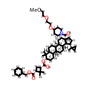 COCCOCCOC1CCN(C(=O)[C@]23CC[C@@H](C4(C)CC4)[C@@H]2[C@H]2CC[C@@H]4[C@@]5(C)CC[C@H](OC(=O)[C@H]6C[C@@H](C(=O)OCc7ccccc7)C6(C)C)C(C)(C)[C@@H]5CC[C@@]4(C)[C@]2(C)CC3)CC1